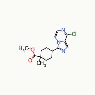 COC(=O)C1(C)CCC(c2ncc3c(Cl)nccn23)CC1